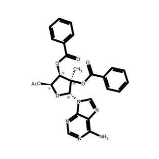 CC(=O)O[C@@H]1O[C@@H](n2cnc3c(N)ncnc32)[C@](C)(OC(=O)c2ccccc2)[C@@H]1OC(=O)c1ccccc1